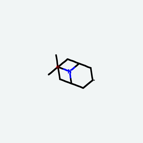 CC(C)N1C2C[CH]CC1CCC2